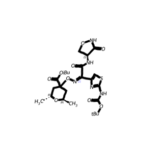 CC(C)COC(=O)C1(O/N=C(\C(=O)N[C@H]2CONC2=O)c2csc(NC(=O)OC(C)(C)C)n2)C[C@@H](C)O[C@H](C)C1